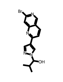 CC(C)C(O)n1cc(-c2ccc3cnc(Br)cc3n2)cn1